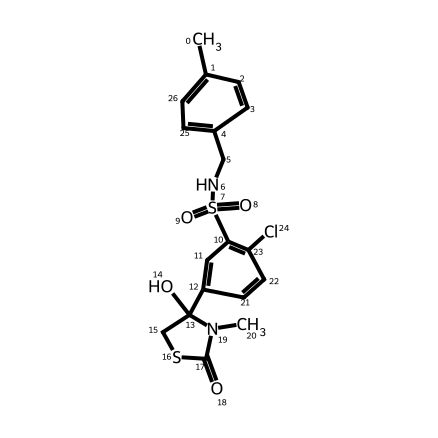 Cc1ccc(CNS(=O)(=O)c2cc(C3(O)CSC(=O)N3C)ccc2Cl)cc1